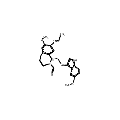 CCOc1cc2c(cc1OC)CCN(C=O)[C@H]2COc1c[nH]c2ccc(OC)cc12